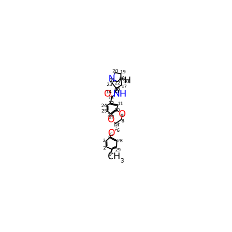 Cc1ccc(OC[C@H]2COc3cc(C(=O)N[C@@H]4C[C@@H]5CCN(C5)C4)ccc3O2)cc1